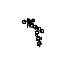 Cc1ccc(-c2ncc(CN3CC[C@@H](C(=O)N4CCC(O)(Cn5cnn6c(-c7ccccc7)ccc6c5=O)CC4)[C@H](c4ccccc4)C3)s2)cn1